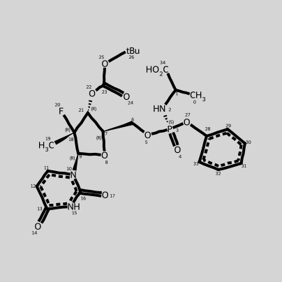 CC(N[P@](=O)(OC[C@H]1O[C@@H](n2ccc(=O)[nH]c2=O)[C@](C)(F)[C@@H]1OC(=O)OC(C)(C)C)Oc1ccccc1)C(=O)O